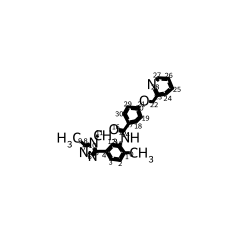 Cc1ccc(-c2nnc(C)n2C)cc1NC(=O)c1ccc(OCc2ccccn2)cc1